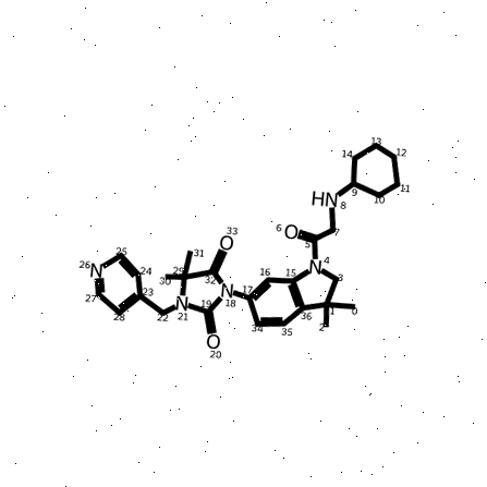 CC1(C)CN(C(=O)CNC2CCCCC2)c2cc(N3C(=O)N(Cc4ccncc4)C(C)(C)C3=O)ccc21